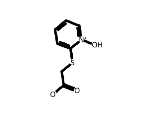 O=C([O-])CSc1cccc[n+]1O